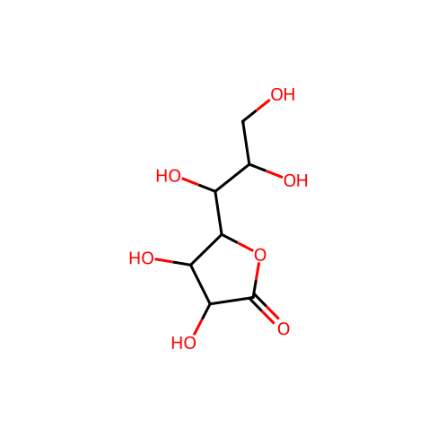 O=C1OC(C(O)C(O)CO)C(O)C1O